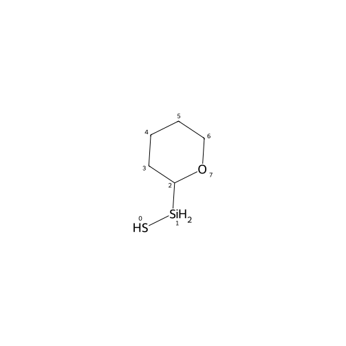 S[SiH2]C1CCCCO1